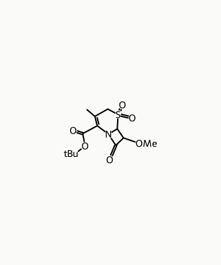 COC1C(=O)N2C(C(=O)OC(C)(C)C)=C(C)CS(=O)(=O)C12